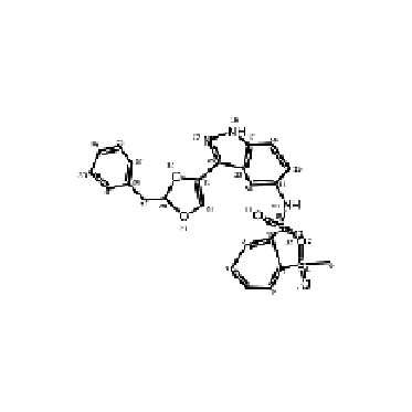 CS(=O)(=O)c1ccccc1S(=O)(=O)Nc1ccc2[nH]nc(C3=COC(Cc4ccccc4)O3)c2c1